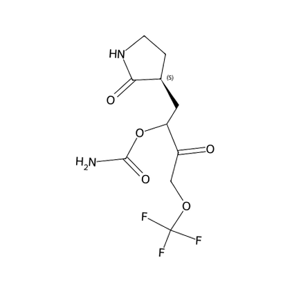 NC(=O)OC(C[C@@H]1CCNC1=O)C(=O)COC(F)(F)F